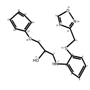 OC(CNc1ccccc1SCc1ncon1)COc1ccccc1